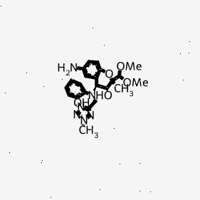 COC(OC)C1(C)Oc2ccc(N)cc2[C@H](N(Cc2nnn(C)n2)c2ccccc2O)[C@H]1O